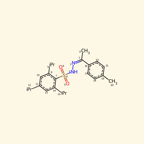 CC(=NNS(=O)(=O)c1c(C(C)C)cc(C(C)C)cc1C(C)C)c1ccc(C)cc1